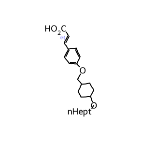 CCCCCCCOC1CCC(COc2ccc(/C=C/C(=O)O)cc2)CC1